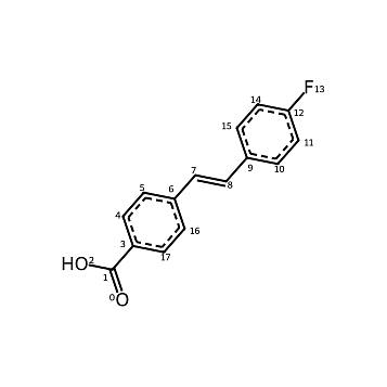 O=C(O)c1ccc(C=Cc2ccc(F)cc2)cc1